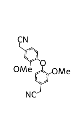 COc1cc(CC#N)ccc1Oc1ccc(CC#N)cc1OC